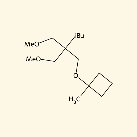 CCC(C)C(COC)(COC)COC1(C)CCC1